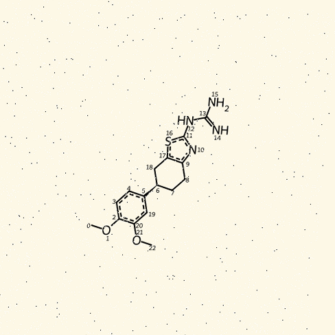 COc1ccc([C@@H]2CCc3nc(NC(=N)N)sc3C2)cc1OC